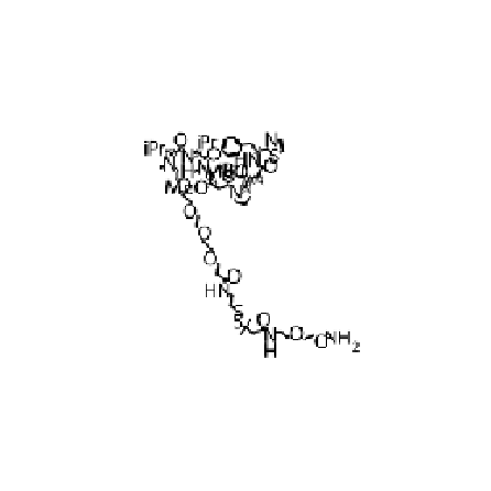 CC[C@H](C)C([C@@H](CC(=O)N1CCC[C@H]1[C@H](OC)[C@@H](C)C(=O)N[C@@H](Cc1ccccc1)c1nccs1)OC)N(C)C(=O)[C@@H](NC(=O)[C@H](C(C)C)N(C)CCOCCOCCOCCOCCC(=O)NCCSSC(C)(C)CC(=O)NCCOCCON)C(C)C